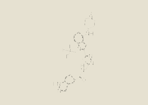 CN1CCC(Nc2cccc3c2cc(-c2nnc(CNC(=O)c4ccc5[nH]ncc5c4)s2)n3CC(F)(F)F)CC1